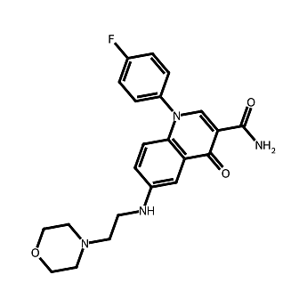 NC(=O)c1cn(-c2ccc(F)cc2)c2ccc(NCCN3CCOCC3)cc2c1=O